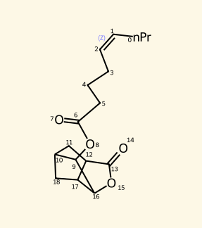 CCC/C=C\CCCC(=O)OC1C2CC3C(=O)OC1C3C2